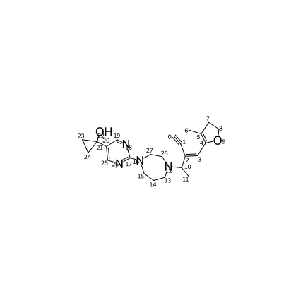 C#C/C(=C\C1=C(C)CCO1)C(C)N1CCCN(c2ncc(C3(O)CC3)cn2)CC1